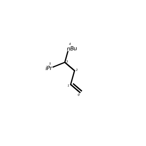 C=CCC(CCCC)C(C)C